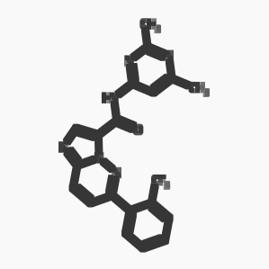 Cc1cc(NC(=O)c2cnc3ccc(-c4ccccc4C(F)(F)F)nn23)nc(C)n1